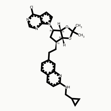 CC1(C)O[C@@H]2[C@@H](CCc3ccc4ccc(NCC5CC5)nc4c3)C[C@@H](n3ccc4c(Cl)ncnc43)[C@@H]2O1